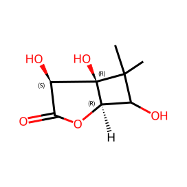 CC1(C)C(O)[C@H]2OC(=O)[C@@H](O)[C@@]21O